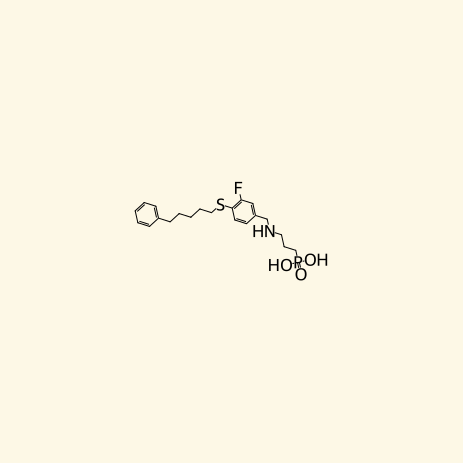 O=P(O)(O)CCCNCc1ccc(SCCCCCc2ccccc2)c(F)c1